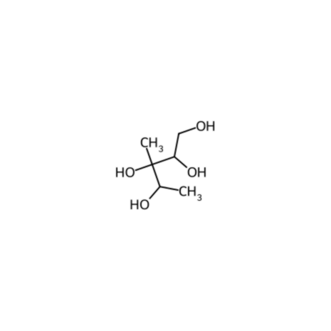 CC(O)C(C)(O)C(O)CO